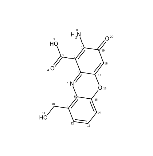 Nc1c(C(=O)O)c2nc3c(CO)cccc3oc-2cc1=O